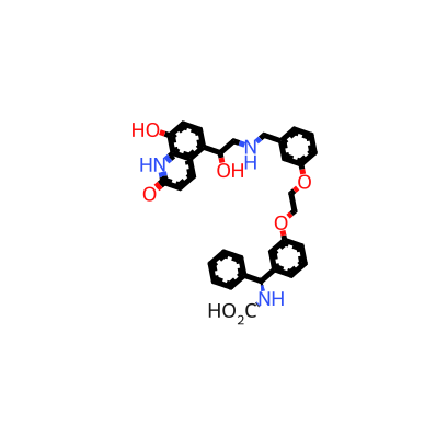 O=C(O)N[C@@H](c1ccccc1)c1cccc(OCCOc2cccc(CNCC(O)c3ccc(O)c4[nH]c(=O)ccc34)c2)c1